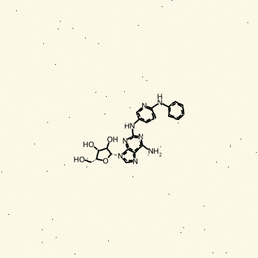 Nc1nc(Nc2ccc(Nc3ccccc3)nc2)nc2c1ncn2[C@@H]1O[C@H](CO)C(O)C1O